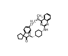 CN(C)c1nc(N[C@H]2CC[C@@H](CNC(=O)C3(c4ccc(Cl)cc4)CCCC3)CC2)nc2ccccc12